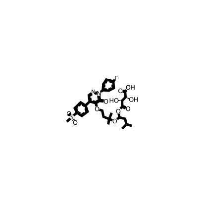 CC(C)CC(OC(=O)[C@H](O)[C@@H](O)C(=O)O)OC(C)(C)CCOc1c(-c2ccc(S(C)(=O)=O)cc2)cnn(-c2ccc(F)cc2)c1=O